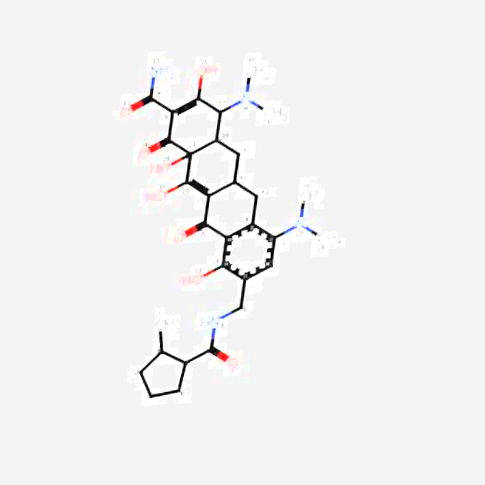 CC1CCCC1C(=O)NCc1cc(N(C)C)c2c(c1O)C(=O)C1=C(O)C3(O)C(=O)C(C(N)=O)=C(O)C(N(C)C)C3CC1C2